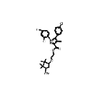 CCCC1CC(OCCNC(=O)c2nn(-c3ccc(Cl)cc3Cl)c(-c3ccc(Cl)cc3)c2C)C(C)(C)C1(C)C